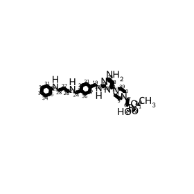 CCOP(=O)(O)CCN1CCN(c2cc(N)nc(NCC3CCC(CNCCCNC4CCCCC4)CC3)n2)CC1